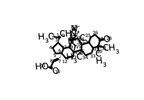 C=C(C)[C@@H]1CC[C@]2(/C=C/C(=O)O)CC[C@]3(CN=[N+]=[N-])C(CCC4[C@@]5(C)CCC(=O)C(C)(C)C5CC[C@]43C)C12